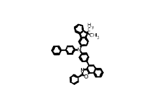 CC1(C)c2ccccc2-c2cc(N(c3ccc(-c4ccccc4)cc3)c3ccc(-c4cc5ccccc5c5oc(-c6ccccc6)nc45)cc3)ccc21